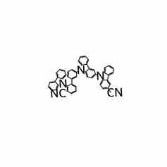 N#Cc1ccc2c(c1)c1ccccc1n2-c1ccc2c(c1)c1ccccc1n2-c1cccc(-c2cccc(C#N)c2-n2c3ccccc3c3ccccc32)c1